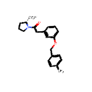 Cc1ccc(COc2cccc(CC(=O)N3CCC[C@@H]3C(=O)O)c2)cc1